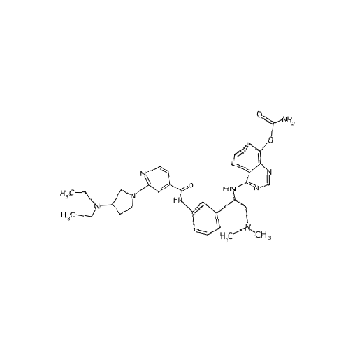 CCN(CC)C1CCN(c2cc(C(=O)Nc3cccc(C(CN(C)C)Nc4ncnc5c(OC(N)=O)cccc45)c3)ccn2)C1